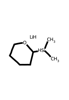 C[SiH](C)C1CCCCO1.[LiH]